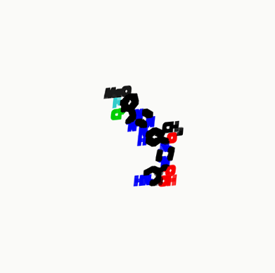 COc1ccc(-c2cnc3c(Nc4ccc(C(=O)N5CCN(C(=O)[C@@H]6CCNC[C@@H]6O)CC5)c(C)c4)nccn23)c(Cl)c1F